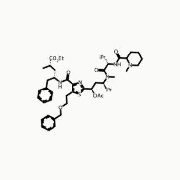 CCOC(=O)[C@@H](C)C[C@@H](Cc1ccccc1)NC(=O)c1nc([C@@H](C[C@H](C(C)C)N(C)C(=O)[C@@H](NC(=O)C2CCCCN2C)C(C)C)OC(C)=O)sc1CCOCc1ccccc1